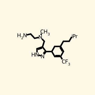 CC(C)CCC1=CC(C(F)(F)F)=CC(c2n[nH]cc2CN(C)CCN)C1